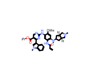 C=CC(=O)Nc1cc(Nc2ncc(C(=O)OC(C)C)c(-c3cn(C)c4ccccc34)n2)c(OC)cc1N(C)C1C[C@@H]2CN(C)C[C@@H]2C1